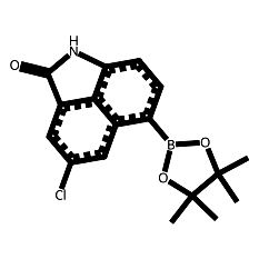 CC1(C)OB(c2ccc3c4c(cc(Cl)cc24)C(=O)N3)OC1(C)C